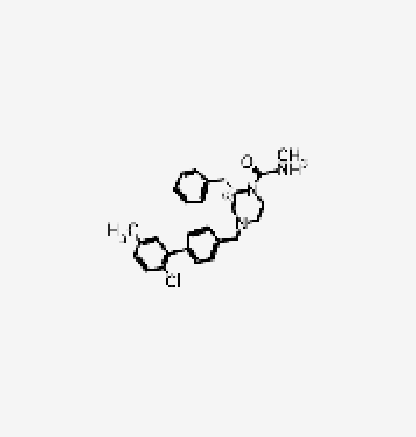 CNC(=O)N1CCN(Cc2ccc(-c3cc(C)ccc3Cl)cc2)C[C@@H]1Cc1ccccc1